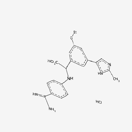 CCOc1cc(-c2cnc(C)[nH]2)cc(C(Nc2ccc(C(=N)N)cc2)C(=O)O)c1.Cl